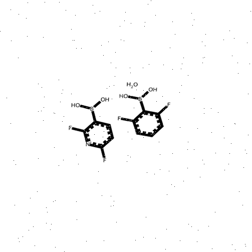 O.OB(O)c1c(F)cccc1F.OB(O)c1ccc(F)nc1F